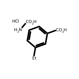 CCc1cccc(C(=O)O)c1.Cl.NC(=O)O